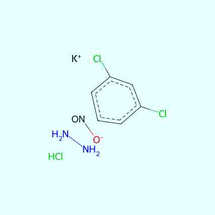 Cl.Clc1cccc(Cl)c1.NN.O=N[O-].[K+]